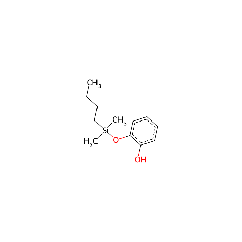 CCCC[Si](C)(C)Oc1ccccc1O